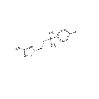 CC(C)(OC[C@H]1COC(N)=N1)c1ccc(F)cc1